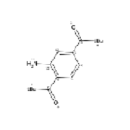 CC(C)(C)C(=O)c1ccc(C(=O)C(C)(C)C)c(N)c1